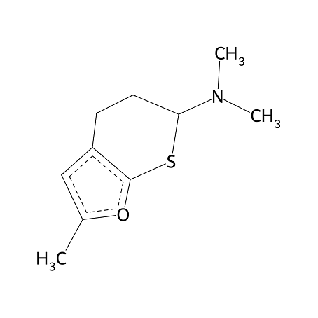 Cc1cc2c(o1)SC(N(C)C)CC2